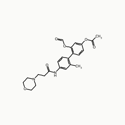 CC(=O)Oc1ccc(-c2ccc(NC(=O)CCN3CCOCC3)cc2C)c(OC=O)c1